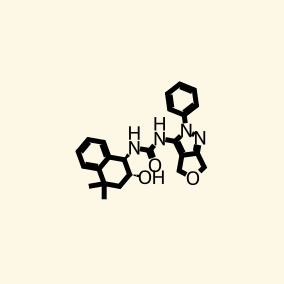 CC1(C)C[C@@H](O)[C@H](NC(=O)Nc2c3c(nn2-c2ccccc2)COC3)c2ccccc21